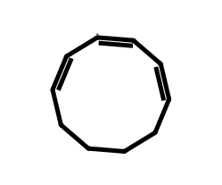 [C]1=CC=CCCCCC=C1